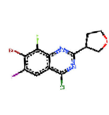 Fc1c(Br)c(I)cc2c(Cl)nc(C3CCOC3)nc12